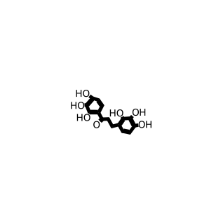 O=C(CCc1ccc(O)c(O)c1O)c1ccc(O)c(O)c1O